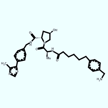 Cc1ncsc1-c1ccc(CNC(=O)[C@@H]2C[C@@H](O)CN2C(=O)[C@@H](NC(=O)CCCCCc2ccc(CN)cc2)C(C)(C)C)cc1